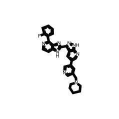 Fc1ccccc1-c1nccc2[nH]c(-c3n[nH]c4ncc(-c5cncc(CN6CCCCC6)c5)cc34)nc12